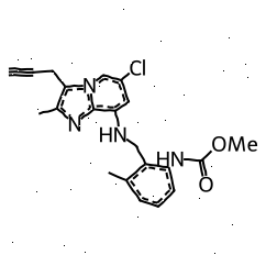 C#CCc1c(C)nc2c(NCc3c(C)cccc3NC(=O)OC)cc(Cl)cn12